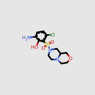 Nc1ccc(Cl)c(S(=O)(=O)N2CCN3CCOCC3C2)c1O